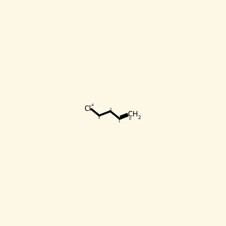 C=[C]CCCl